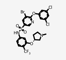 CN1CC[C@@H](Oc2cc(NS(=O)(=O)c3cnc(Oc4cc(Cl)cc(Cl)c4)c(Br)c3)ccc2C(F)(F)F)C1